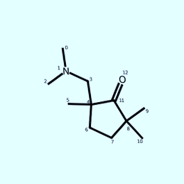 CN(C)CC1(C)CCC(C)(C)C1=O